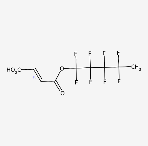 CC(F)(F)C(F)(F)C(F)(F)C(F)(F)OC(=O)/C=C/C(=O)O